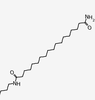 CCCCNC(=O)CCCCCCCCCCCCCCCCC(N)=O